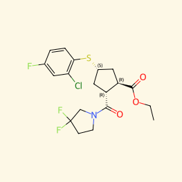 CCOC(=O)[C@@H]1C[C@@H](Sc2ccc(F)cc2Cl)C[C@H]1C(=O)N1CCC(F)(F)C1